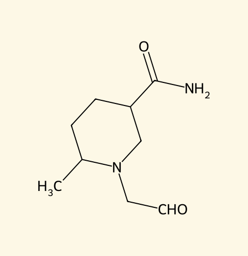 CC1CCC(C(N)=O)CN1CC=O